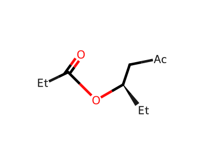 CCC(=O)O[C@H](CC)CC(C)=O